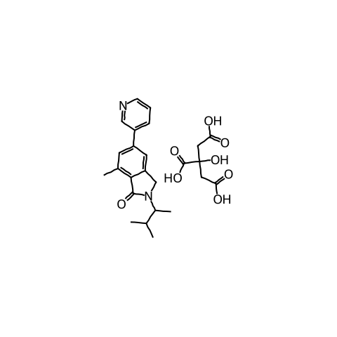 Cc1cc(-c2cccnc2)cc2c1C(=O)N(C(C)C(C)C)C2.O=C(O)CC(O)(CC(=O)O)C(=O)O